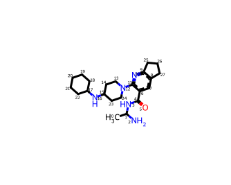 CC(N)NC(=O)c1cc2c(nc1N1CCC(NC3CCCCC3)CC1)CCC2